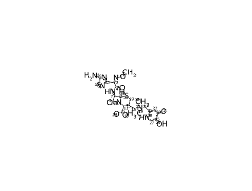 CO/N=C(\C(=O)N[C@@H]1C(=O)N2C(C(=O)[O-])=C(C[N+](C)(C)Cc3cc(=O)c(O)c[nH]3)CS[C@H]12)c1nsc(N)n1